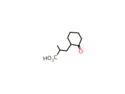 CC(CC1CCCCC1=O)C(=O)O